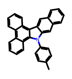 Cc1ccc(-n2c3cc4ccccc4cc3c3c4ccccc4c4ccccc4c32)cc1